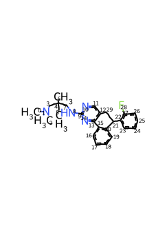 CN(C)CC(C)(C)CNc1ncc2c(n1)-c1ccccc1C(c1ccccc1F)C2